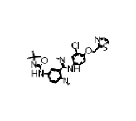 C=Nc1ccc(NC2=NC(C)(C)CO2)cc1/C(=N\C)Nc1ccc(OCc2nccs2)c(Cl)c1